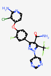 NC(=O)c1c(-c2ccc(Oc3ccnc(N)c3Cl)c(F)c2)nn(-c2cncnc2)c1C(F)(F)F